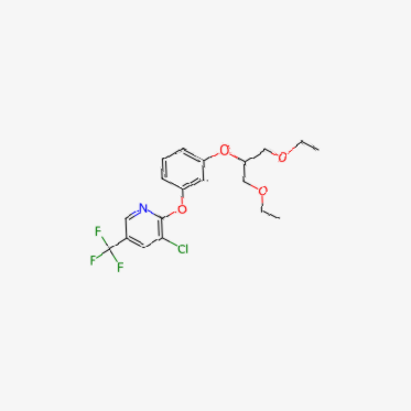 CCOCC(COCC)Oc1[c]c(Oc2ncc(C(F)(F)F)cc2Cl)ccc1